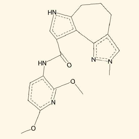 COc1ccc(NC(=O)c2c[nH]c3c2-c2nn(C)cc2CCC3)c(OC)n1